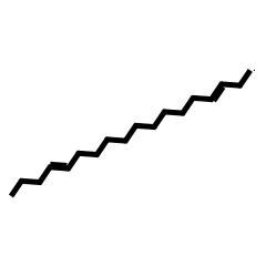 [CH2]CC=CCCCCCCCCCC=CCCC